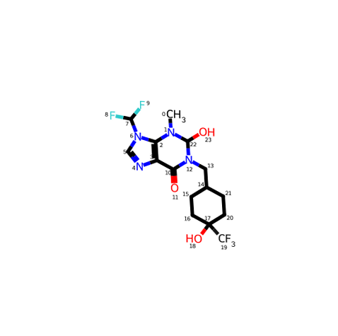 CN1c2c(ncn2C(F)F)C(=O)N(CC2CCC(O)(C(F)(F)F)CC2)C1O